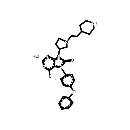 Cl.Nc1ncnc2c1n(-c1ccc(Oc3ccccc3)cc1)c(=O)n2C1CCN(CCC2CCNCC2)C1